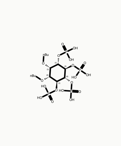 CCCCO[C@@H]1[C@H](OCCCC)[C@H](OP(=O)(O)O)[C@@H](OP(=O)(O)O)[C@H](OP(=O)(O)O)[C@H]1OP(=O)(O)O